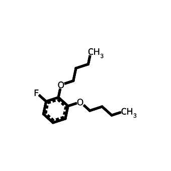 CCCCOc1cccc(F)c1OCCCC